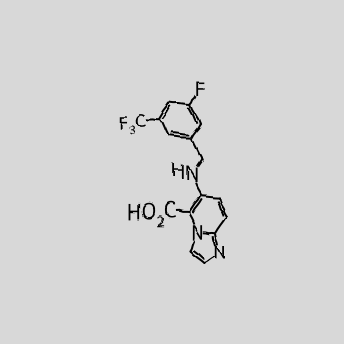 O=C(O)c1c(NCc2cc(F)cc(C(F)(F)F)c2)ccc2nccn12